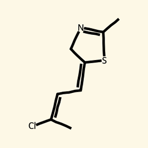 CC1=NC/C(=C\C=C(/C)Cl)S1